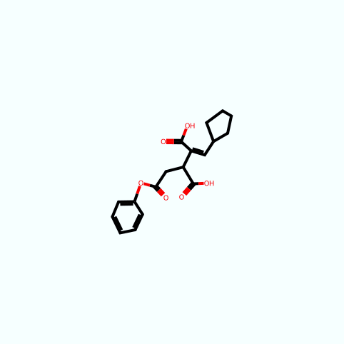 O=C(CC(C(=O)O)C(=CC1CCCC1)C(=O)O)Oc1ccccc1